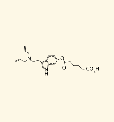 C=CCN(CC=C)CCc1c[nH]c2cc(OC(=O)CCCCC(=O)O)ccc12